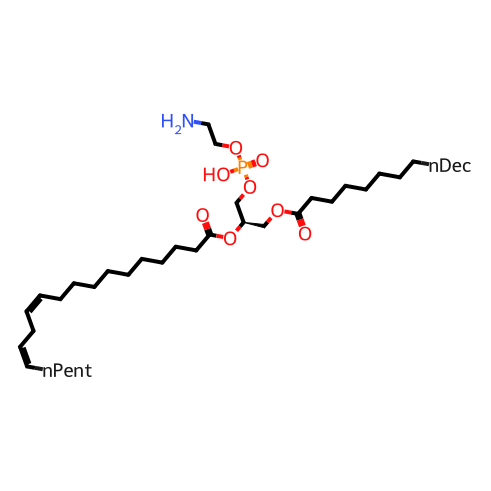 CCCCC/C=C\C/C=C\CCCCCCCCCC(=O)O[C@H](COC(=O)CCCCCCCCCCCCCCCCC)COP(=O)(O)OCCN